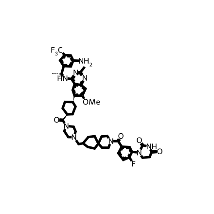 COc1cc2nc(C)nc(N[C@H](C)c3cc(N)cc(C(F)(F)F)c3)c2cc1[C@H]1CC[C@H](C(=O)N2CCN(CC3CCC4(CC3)CCN(C(=O)c3ccc(F)c(N5CCC(=O)NC5=O)c3)CC4)CC2)CC1